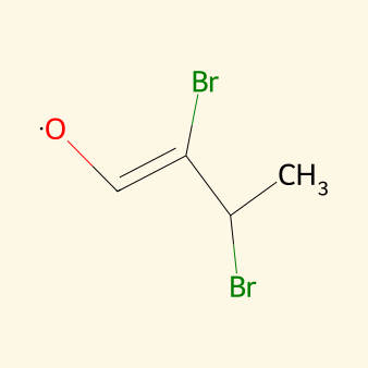 CC(Br)C(Br)=C[O]